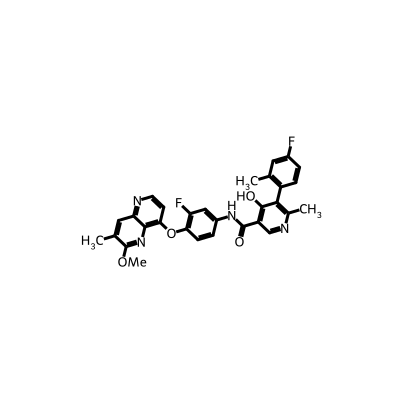 COc1nc2c(Oc3ccc(NC(=O)c4cnc(C)c(-c5ccc(F)cc5C)c4O)cc3F)ccnc2cc1C